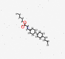 CCCCCOC(=O)/C=C/C1CCC([C@H]2CC[C@H](CCCC)CC2)CC1